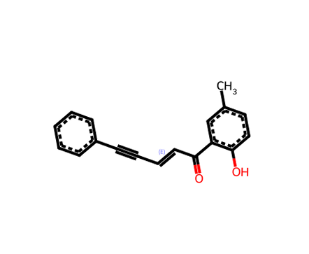 Cc1ccc(O)c(C(=O)/C=C/C#Cc2ccccc2)c1